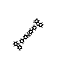 O=S(=O)(c1ccc(-c2ccc(-n3c4ccccc4c4ccccc43)cc2)cc1)c1ccc(-c2ccc(-n3c4ccccc4c4ccccc43)cc2)cc1